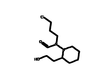 O=CN(CCCCl)N1CCCCC1CCO